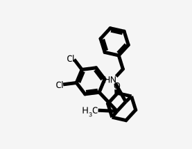 CC1(c2ccc(Cl)c(Cl)c2)C2CCC(C(=O)C2)C1NCc1ccccc1